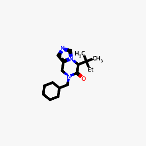 CCC(C)(C)C1C(=O)N(CC2CCCCC2)Cc2cncn21